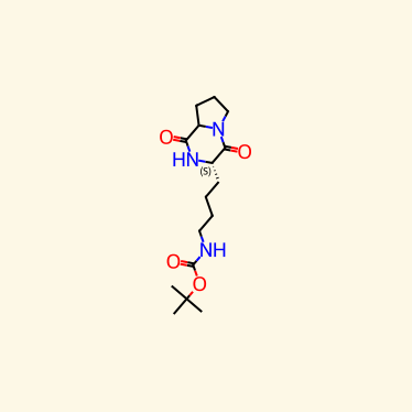 CC(C)(C)OC(=O)NCCCC[C@@H]1NC(=O)C2CCCN2C1=O